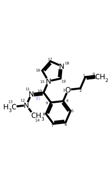 C=CCOc1ccccc1/C(=N\N(C)C)n1ccnc1